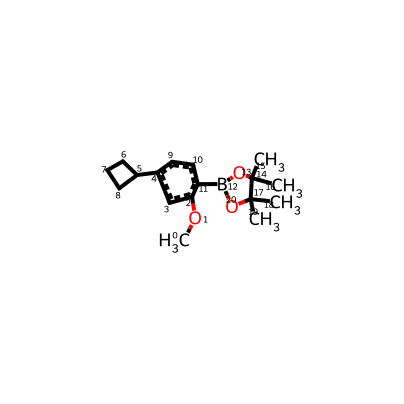 COc1cc(C2CCC2)ccc1B1OC(C)(C)C(C)(C)O1